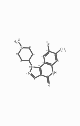 Cc1cc2[nH]c(=O)c3cnn(C4CCN(C)CC4)c3c2cc1Br